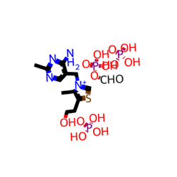 Cc1ncc(C[n+]2csc(CCO)c2C)c(N)n1.O=COP(=O)(O)O.O=P(O)(O)O.O=P(O)(O)O